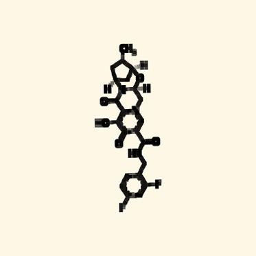 CC1C[C@H]2C[C@@H]1O[C@H]1Cn3cc(C(=O)NCc4ccc(F)cc4F)c(=O)c(O)c3C(=O)N21